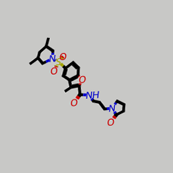 Cc1c(C(=O)NCCCN2CCCC2=O)oc2ccc(S(=O)(=O)N3CC(C)CC(C)C3)cc12